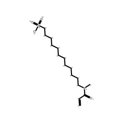 C=CC(=O)N(C)CCCCCCCCCCCCS(=O)(=O)Cl